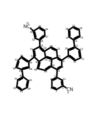 N#Cc1cccc(-c2cc(-c3cccc(-c4ccccc4)c3)c3ccc4c(-c5cccc(C#N)c5)cc(-c5cccc(-c6ccccc6)c5)c5ccc2c3c45)c1